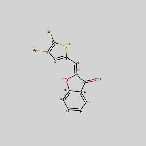 O=C1/C(=C/c2cc(Br)c(Br)s2)Oc2ccccc21